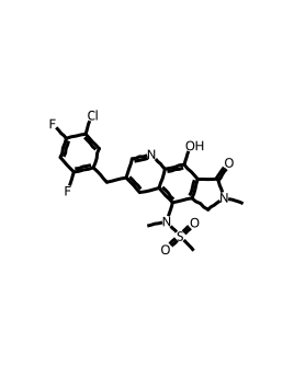 CN1Cc2c(c(O)c3ncc(Cc4cc(Cl)c(F)cc4F)cc3c2N(C)S(C)(=O)=O)C1=O